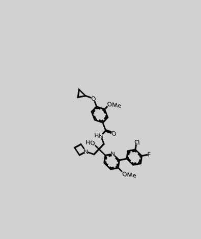 COc1cc(C(=O)NCC(O)(CN2CCC2)c2ccc(OC)c(-c3ccc(F)c(Cl)c3)n2)ccc1OC1CC1